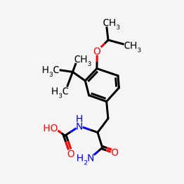 CC(C)Oc1ccc(CC(NC(=O)O)C(N)=O)cc1C(C)(C)C